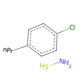 CCCc1ccc(Cl)cc1.NS